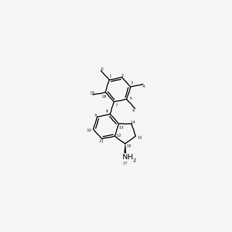 Cc1cc(C)c(C)c(-c2cccc3c2CC[C@H]3N)c1C